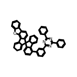 C1=C2C(=CCC1)C1(c3ccccc3-c3c(-c4cccc(-c5nc(-c6ccccc6)nc(-c6ccccc6)n5)c4)cccc31)c1ccc3c(oc4ccccc43)c12